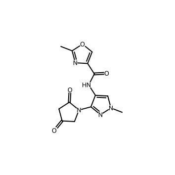 Cc1nc(C(=O)Nc2cn(C)nc2N2CC(=O)CC2=O)co1